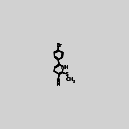 CSC1=C(C#N)CC=C(c2ccc(Br)cc2)N1